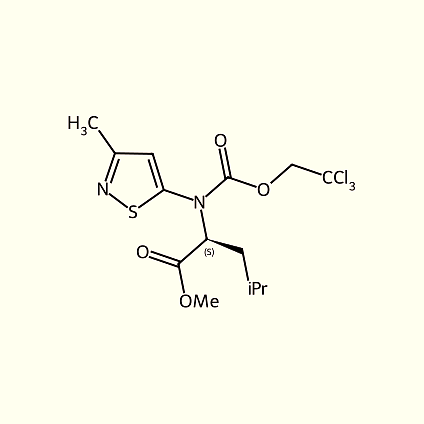 COC(=O)[C@H](CC(C)C)N(C(=O)OCC(Cl)(Cl)Cl)c1cc(C)ns1